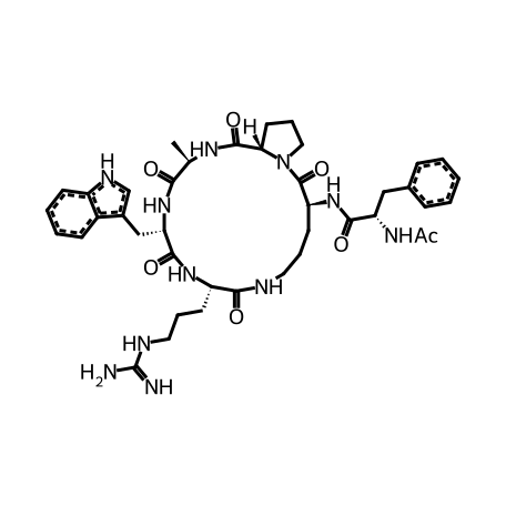 CC(=O)N[C@@H](Cc1ccccc1)C(=O)N[C@H]1CCCNC(=O)[C@H](CCCNC(=N)N)NC(=O)[C@H](Cc2c[nH]c3ccccc23)NC(=O)[C@@H](C)NC(=O)[C@@H]2CCCN2C1=O